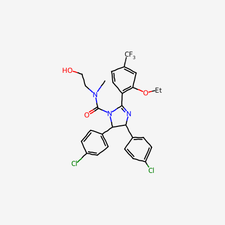 CCOc1cc(C(F)(F)F)ccc1C1=NC(c2ccc(Cl)cc2)C(c2ccc(Cl)cc2)N1C(=O)N(C)CCO